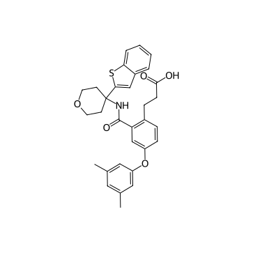 Cc1cc(C)cc(Oc2ccc(CCC(=O)O)c(C(=O)NC3(c4cc5ccccc5s4)CCOCC3)c2)c1